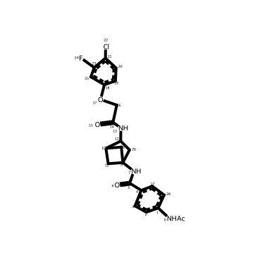 CC(=O)Nc1ccc(C(=O)NC23CC(C2)C(NC(=O)COc2ccc(Cl)c(F)c2)C3)cc1